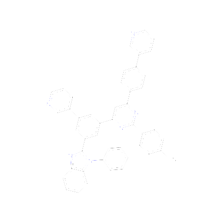 N#Cc1ccc(-c2nc(-c3ccc(-c4cccnc4)cc3)cc(-c3cc(-c4cccnc4)cc(-c4nc5ccccc5n4-c4ccccc4)c3)n2)cc1